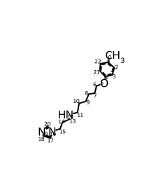 Cc1ccc(OCCCCCCNCCCn2ccnc2)cc1